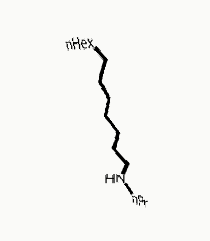 [CH2]CCNCCCCCCCCCCCCC